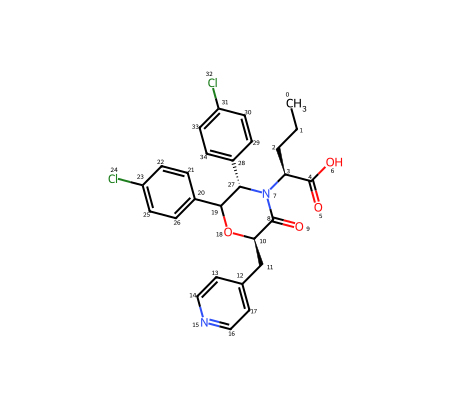 CCC[C@@H](C(=O)O)N1C(=O)[C@@H](Cc2ccncc2)OC(c2ccc(Cl)cc2)[C@@H]1c1ccc(Cl)cc1